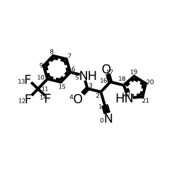 N#CC(C(=O)Nc1cccc(C(F)(F)F)c1)C(=O)c1ccc[nH]1